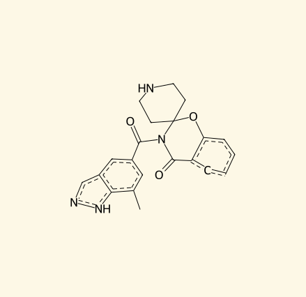 Cc1cc(C(=O)N2C(=O)c3ccccc3OC23CCNCC3)cc2cn[nH]c12